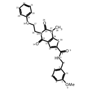 COc1cccc(CNC(=O)c2cc3c(=O)n(CCOc4ccccc4)c(=O)n(C)c3s2)c1